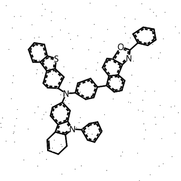 C1=Cc2c(n(-c3ccccc3)c3cc(N(c4ccc(-c5cccc6c5ccc5oc(-c7ccccc7)nc56)cc4)c4ccc5c(c4)sc4ccccc45)ccc23)CC1